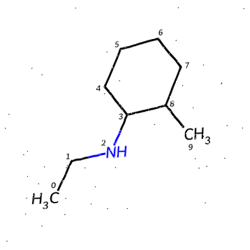 CCNC1CCCCC1C